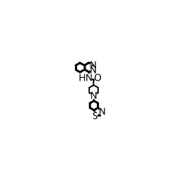 O=C(Nc1nncc2ccccc12)C1CCN(c2ccc3scnc3c2)CC1